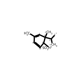 CC1=CC(C)(C(C)I)C(S(=O)(=O)O)C=C1